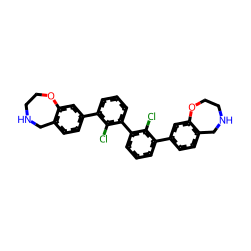 Clc1c(-c2ccc3c(c2)OCCNC3)cccc1-c1cccc(-c2ccc3c(c2)OCCNC3)c1Cl